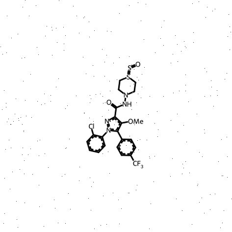 COc1c(C(=O)NN2CCS(=S=O)CC2)nn(-c2ccccc2Cl)c1-c1ccc(C(F)(F)F)cc1